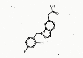 O=C(O)Cc1ccc2ccn(Cc3ccc(F)cc3Cl)c2c1